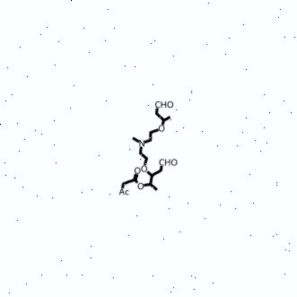 CC(=O)CC(=O)OC(C)C(CC=O)OCCN(C)CCOC(C)CC=O